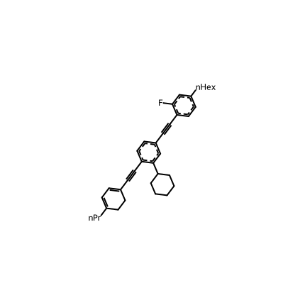 CCCCCCc1ccc(C#Cc2ccc(C#CC3=CC=C(CCC)CC3)c(C3CCCCC3)c2)c(F)c1